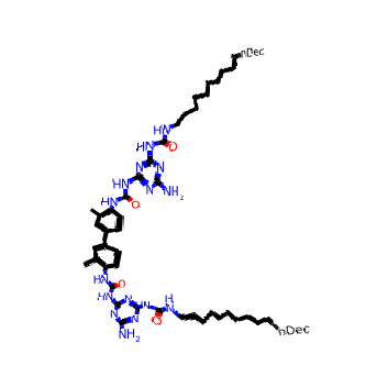 CCCCCCCCCCCCCCCCCCCCNC(=O)Nc1nc(N)nc(NC(=O)Nc2ccc(-c3ccc(NC(=O)Nc4nc(N)nc(NC(=O)NCCCCCCCCCCCCCCCCCCCC)n4)c(C)c3)cc2C)n1